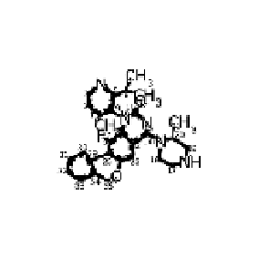 Cc1ccnc(C(C)C)c1-n1c(=O)nc(N2CCNC[C@@H]2C)c2cc3c(c(F)c21)-c1ccccc1CO3